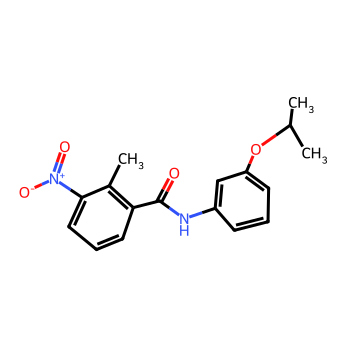 Cc1c(C(=O)Nc2cccc(OC(C)C)c2)cccc1[N+](=O)[O-]